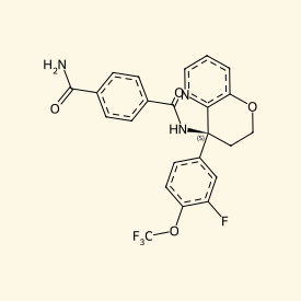 NC(=O)c1ccc(C(=O)N[C@]2(c3ccc(OC(F)(F)F)c(F)c3)CCOc3cccnc32)cc1